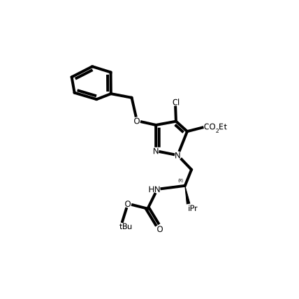 CCOC(=O)c1c(Cl)c(OCc2ccccc2)nn1C[C@H](NC(=O)OC(C)(C)C)C(C)C